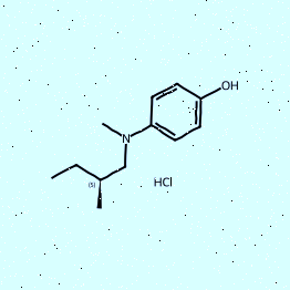 CC[C@H](C)CN(C)c1ccc(O)cc1.Cl